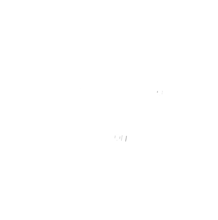 CC=C(CO)CC=O